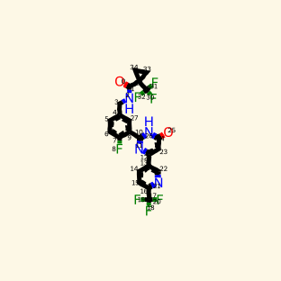 O=C(NCc1ccc(F)c(-c2nc(-c3ccc(C(F)(F)F)nc3)cc(=O)[nH]2)c1)C1(C(F)(F)F)CC1